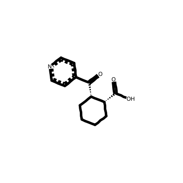 O=C(c1ccncc1)[C@H]1CCCC[C@H]1C(=O)O